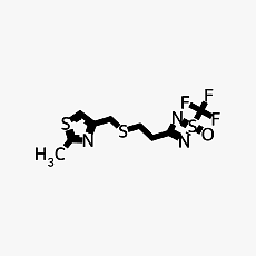 Cc1nc(CSCCC2=NS(=O)(C(F)(F)F)=N2)cs1